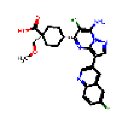 COC[C@]1(C(=O)O)CC[C@H](c2nc3c(-c4cnc5ccc(F)cc5c4)cnn3c(N)c2Br)CC1